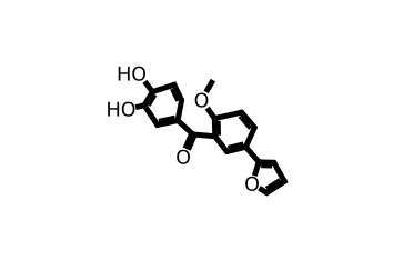 COc1ccc(-c2ccco2)cc1C(=O)c1ccc(O)c(O)c1